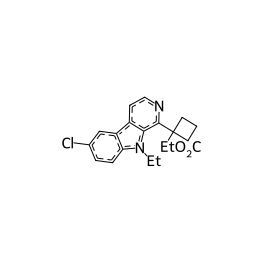 CCOC(=O)C1(c2nccc3c4cc(Cl)ccc4n(CC)c23)CCC1